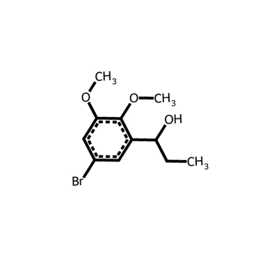 CCC(O)c1cc(Br)cc(OC)c1OC